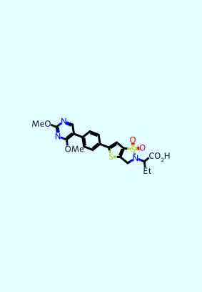 CCC(C(=O)O)N1Cc2sc(-c3ccc(-c4cnc(OC)nc4OC)cc3)cc2S1(=O)=O